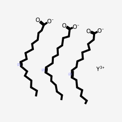 CCCCCC/C=C\CCCCCCCC(=O)[O-].CCCCCC/C=C\CCCCCCCC(=O)[O-].CCCCCC/C=C\CCCCCCCC(=O)[O-].[Y+3]